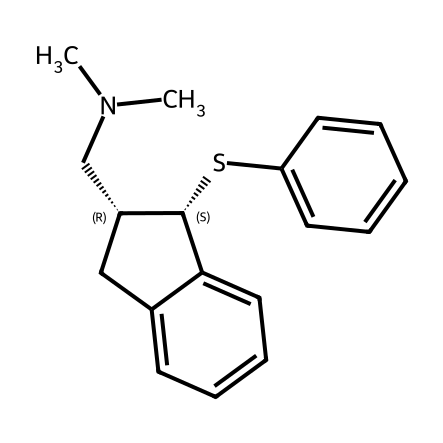 CN(C)C[C@H]1Cc2ccccc2[C@H]1Sc1ccccc1